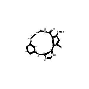 CCOc1cc(C)c2cc1C(=O)NCCCOc1cccc(c1)Sc1cc-2ncn1